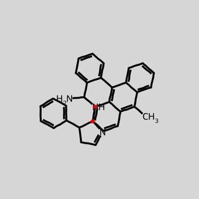 Cc1c2ccccc2c(-c2ccccc2C(N)NC2N=CCC2c2ccccc2)c2ccccc12